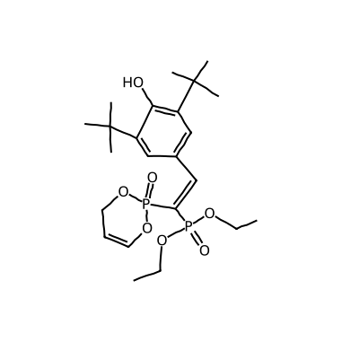 CCOP(=O)(OCC)C(=Cc1cc(C(C)(C)C)c(O)c(C(C)(C)C)c1)P1(=O)OC=CCO1